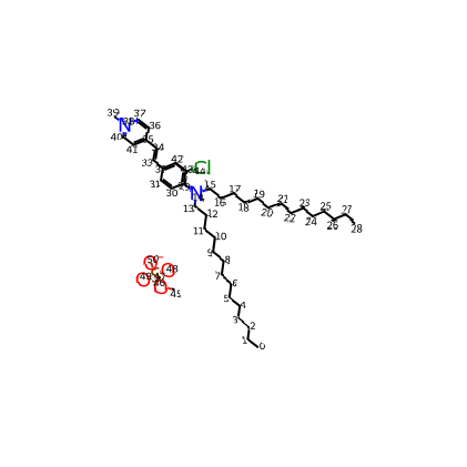 CCCCCCCCCCCCCCN(CCCCCCCCCCCCCC)c1ccc(/C=C/c2cc[n+](C)cc2)cc1Cl.COS(=O)(=O)[O-]